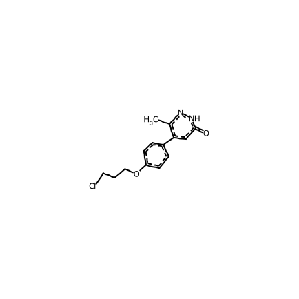 Cc1n[nH]c(=O)cc1-c1ccc(OCCCCl)cc1